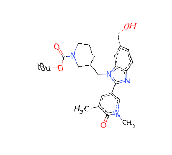 Cc1cc(-c2nc3ccc(CO)cc3n2CC2CCCN(C(=O)OC(C)(C)C)C2)cn(C)c1=O